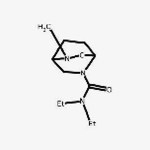 CCN(CC)C(=O)N1CC2CCC1CN2C